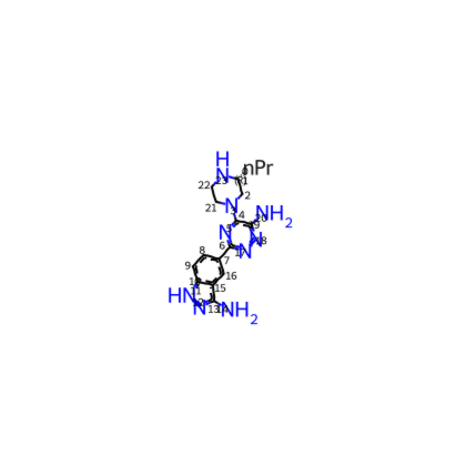 CCC[C@@H]1CN(c2nc(-c3ccc4[nH]nc(N)c4c3)nnc2N)CCN1